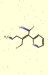 C=CC/C(CF)=C(\C(=N)F)c1ccccn1